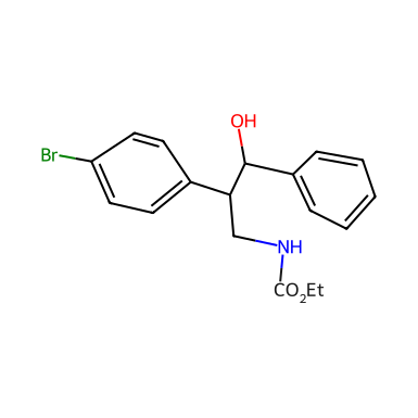 CCOC(=O)NCC(c1ccc(Br)cc1)C(O)c1ccccc1